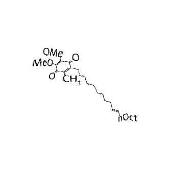 CCCCCCCCC=CCCCCCCCCCC1=C(C)C(=O)C(OC)=C(OC)C1=O